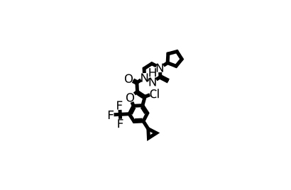 C=C1NN(C(=O)c2oc3c(C(F)(F)F)cc(C4CC4)cc3c2Cl)CCN1C1CCCC1